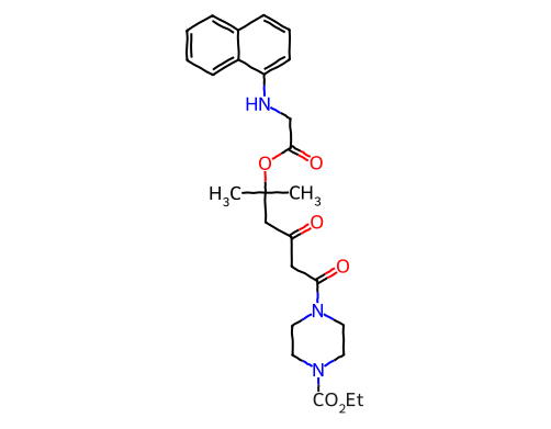 CCOC(=O)N1CCN(C(=O)CC(=O)CC(C)(C)OC(=O)CNc2cccc3ccccc23)CC1